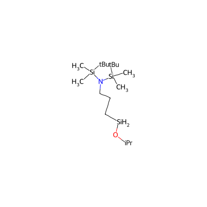 CC(C)O[SiH2]CCCN([Si](C)(C)C(C)(C)C)[Si](C)(C)C(C)(C)C